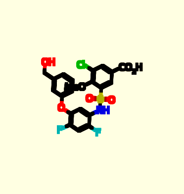 COc1c(Cl)cc(C(=O)O)cc1S(=O)(=O)Nc1cc(Oc2cccc(CO)c2)c(F)cc1F